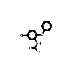 CCC(=O)Nc1cc(Cl)ccc1Oc1ccccc1